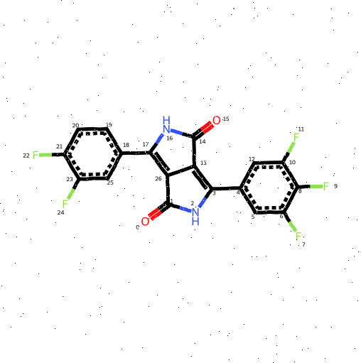 O=C1NC(c2cc(F)c(F)c(F)c2)=C2C(=O)NC(c3ccc(F)c(F)c3)=C12